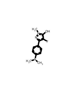 CN(C)c1ccc(-c2nn(C)c(O)c2F)cc1